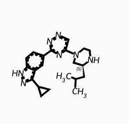 CC(C)C[C@H]1CN(c2cnnc(-c3ccc4[nH]nc(C5CC5)c4c3)n2)CCN1